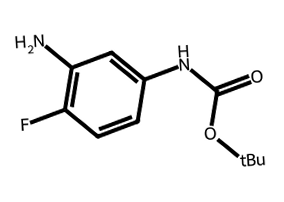 CC(C)(C)OC(=O)Nc1ccc(F)c(N)c1